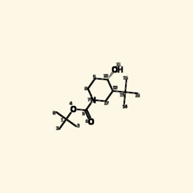 CC(C)(C)OC(=O)N1CC[C@H](O)C(C(C)(C)C)C1